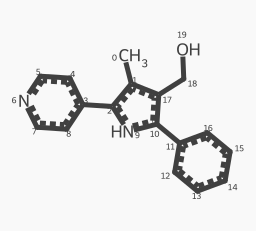 Cc1c(-c2ccncc2)[nH]c(-c2ccccc2)c1CO